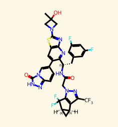 CC1(O)CN(c2nc3nc([C@H](Cc4cc(F)cc(F)c4)NC(=O)Cn4nc(C(F)(F)F)c5c4C(F)(F)[C@@H]4C[C@H]54)c(-c4ccc5n[nH]c(=O)n5c4)cc3s2)C1